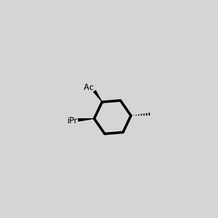 CC(=O)[C@H]1C[C@H](C)CC[C@H]1C(C)C